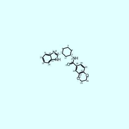 O=C(N[C@H]1CCC[C@@H](c2nc3ccccc3[nH]2)C1)c1ccc2c(c1)OCCO2